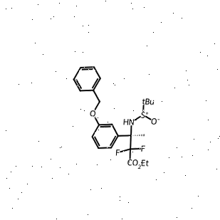 CCOC(=O)C(F)(F)[C@](C)(N[S+]([O-])C(C)(C)C)c1cccc(OCc2ccccc2)c1